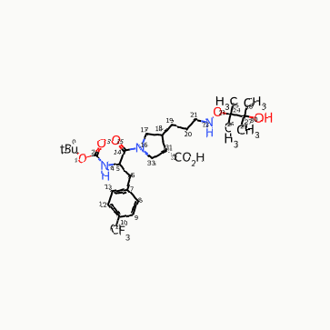 CC(C)(C)OC(=O)NC(Cc1ccc(C(F)(F)F)cc1)C(=O)N1CC(CCCNOC(C)(C)C(C)(C)O)[C@H](C(=O)O)C1